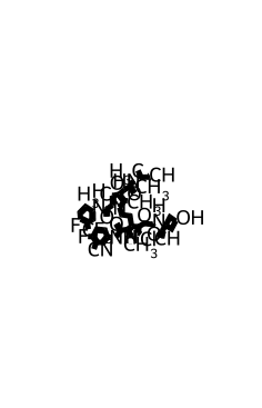 C#CC(C)(C)NC(=O)C(=O)c1c(C)c(C(=O)Nc2ccc(F)c(C(F)(F)F)c2)n(CCc2c(C(=O)C(=O)NC3(C#C)CC(O)C3)c(Cl)n(C)c2C(=O)Nc2ccc(F)c(C#N)c2)c1C